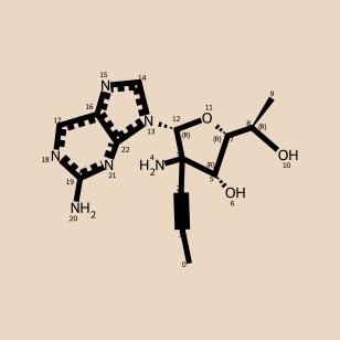 CC#CC1(N)[C@@H](O)[C@@H]([C@@H](C)O)O[C@H]1n1cnc2cnc(N)nc21